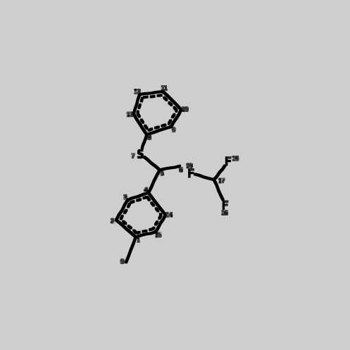 Cc1ccc(C(C)Sc2ccccc2)cc1.FC(F)F